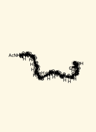 CC(=O)Nc1cn(C)c(C(=O)Nc2cn(C)c(C(=O)Nc3cn(C)c(C(=O)NCCC(=O)Nc4cn(C)c(C(=O)Nc5cc(C(=O)Nc6cc(C(=O)NCCCC(=O)Nc7cn(C)c(C(=O)Nc8cn(C)c(C(=O)Nc9cc(C(=O)NCCC(=O)Nc%10cc(C(=O)Nc%11ccc%12cc(C(=O)N%13CC(CCl)c%14c%13cc(O)c%13ccccc%14%13)[nH]c%12c%11)n(C)c%10)n(C)c9)n8)n7)n(C)c6)n(C)c5)n4)n3)n2)n1